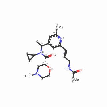 COC(=O)NC/C=C/c1cc(C(C)N(C(=O)[C@H]2CN(C(=O)O)CCO2)C2CC2)cc(OC)n1